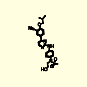 CC(C)COc1ccc(-c2ccnc(Nc3ccc(N(CCO)S(C)(=O)=O)cc3)n2)cc1C#N